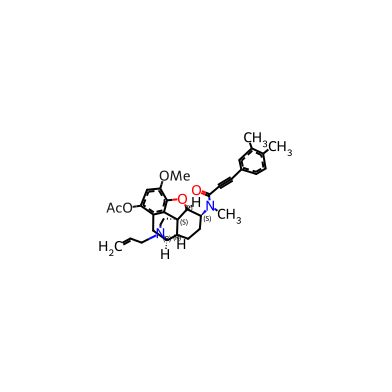 C=CCN1CC[C@]23c4c5c(OC(C)=O)cc(OC)c4O[C@H]2[C@@H](N(C)C(=O)C#Cc2ccc(C)c(C)c2)CC[C@H]3[C@H]1C5